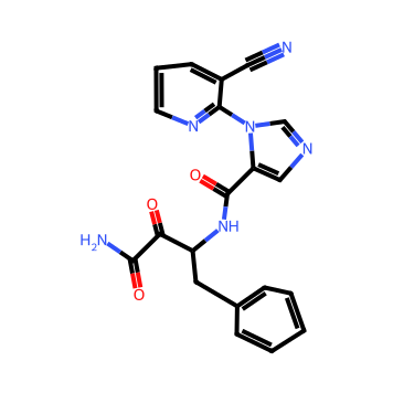 N#Cc1cccnc1-n1cncc1C(=O)NC(Cc1ccccc1)C(=O)C(N)=O